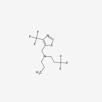 CCCN(CCC(F)(F)F)Cc1s[c]nc1C(F)(F)F